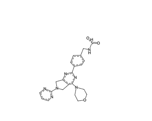 O=[SH](=O)NCc1ccc(-c2nc3c(c(N4CCOCC4)n2)CN(c2ncccn2)C3)cc1